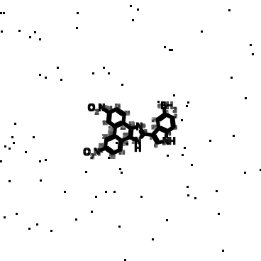 Bc1ccc2[nH]cc(-c3nc4c5ccc([N+](=O)[O-])cc5c5cc([N+](=O)[O-])ccc5c4[nH]3)c2c1